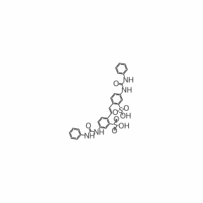 O=C(Nc1ccccc1)Nc1ccc(/C=C/c2ccc(NC(=O)Nc3ccccc3)cc2S(=O)(=O)O)c(S(=O)(=O)O)c1